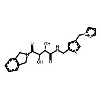 O=C(NCc1cc(Cn2cccn2)cs1)[C@H](O)[C@@H](O)C(=O)N1Cc2ccccc2C1